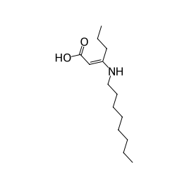 CCCCCCCCNC(=CC(=O)O)CCC